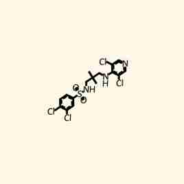 CC(C)(CNc1c(Cl)cncc1Cl)CNS(=O)(=O)c1ccc(Cl)c(Cl)c1